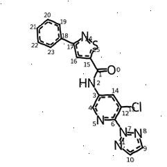 O=C(Nc1cnc(-n2nccn2)c(Cl)c1)c1cc(-c2ccccc2)ns1